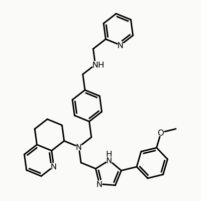 COc1cccc(-c2cnc(CN(Cc3ccc(CNCc4ccccn4)cc3)C3CCCc4cccnc43)[nH]2)c1